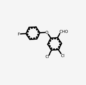 O=Cc1cc(Cl)c(Cl)cc1Oc1ccc(F)cc1